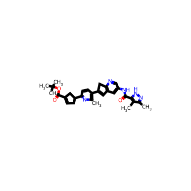 Cc1nc(C2CC=C(C(=O)OC(C)(C)C)C2)ccc1C1=Cc2cc(NC(=O)c3[nH]nc(C)c3C)cnc2C1